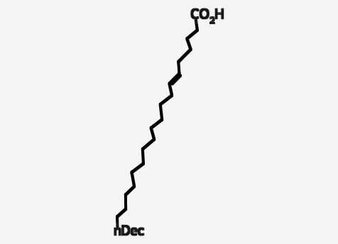 CCCCCCCCCCCCCCCCCCCCCCC=CCCCCC(=O)O